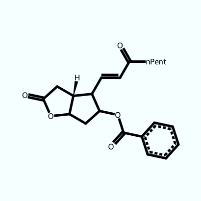 CCCCCC(=O)/C=C/C1C(OC(=O)c2ccccc2)CC2OC(=O)C[C@@H]21